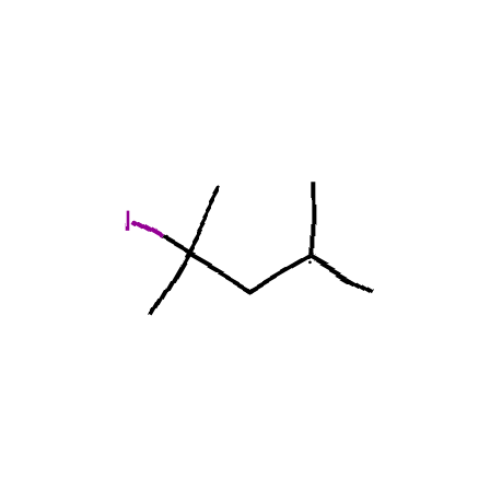 C[C](C)CC(C)(C)I